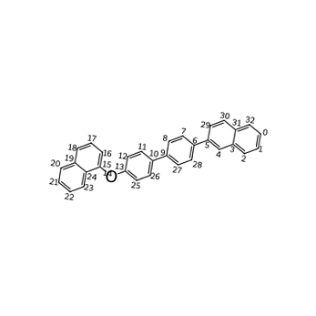 c1ccc2cc(-c3ccc(-c4ccc(Oc5cccc6ccccc56)cc4)cc3)ccc2c1